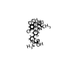 Cc1nc(N2CCC(C3CCCN(C(C)C(=O)O)C3)CC2)nc(N[C@H](C)c2ccc(Cl)cc2Cl)c1Cl